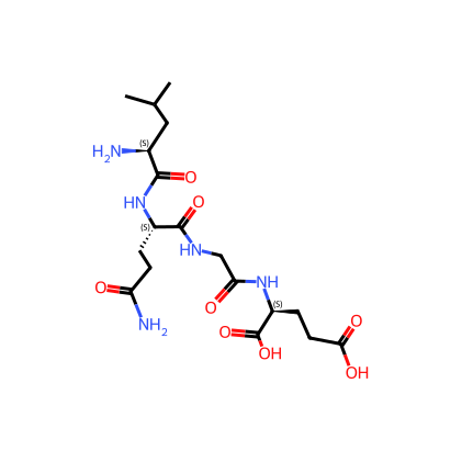 CC(C)C[C@H](N)C(=O)N[C@@H](CCC(N)=O)C(=O)NCC(=O)N[C@@H](CCC(=O)O)C(=O)O